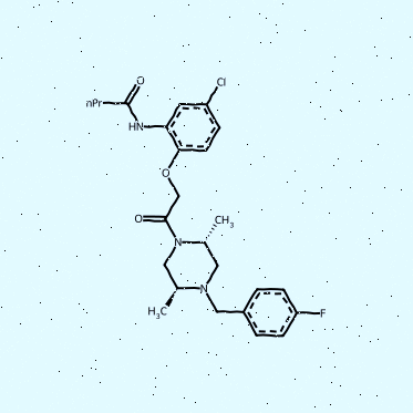 CCCC(=O)Nc1cc(Cl)ccc1OCC(=O)N1C[C@H](C)N(Cc2ccc(F)cc2)C[C@H]1C